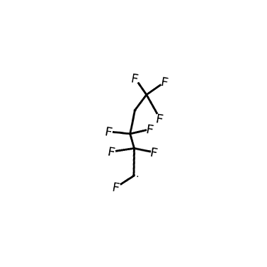 F[CH]C(F)(F)C(F)(F)CC(F)(F)F